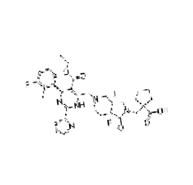 CCOC(=O)C1=C(CN2CC[C@]3(F)C(=O)N(CC4(C(=O)O)CCCC4)C[C@@H]3C2)NC(c2nccs2)=N[C@H]1c1cccc(F)c1C